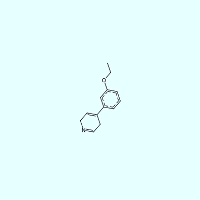 CCOc1cccc(C2=CCN=CC2)c1